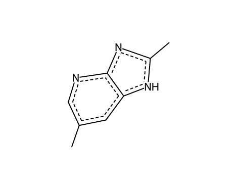 Cc1cnc2nc(C)[nH]c2c1